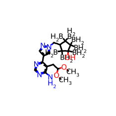 BC1(B)C(Cn2cc(-c3ncnc(N)c3CC(OC)OC)cn2)C(B)(B)C(B)(O)C1(B)B